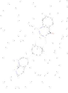 O=c1c2ccccc2ncn1Cc1c(F)cc(-c2cnc3[nH]ccc3c2)cc1F